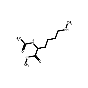 CNCCCCC(NC(C)=O)C(=O)NC